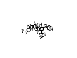 Cc1cnc(-c2cc(OC3CCN(C)CC3)cc(C(=O)N[C@H](C)c3cnc(C(F)(F)F)nc3)c2F)s1